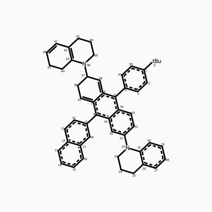 CC(C)(C)c1ccc(-c2c3c(c(-c4ccc5ccccc5c4)c4cc(N5CCCc6ccccc65)ccc24)=CCC(N2CCCC4=C2CCC=C4)C=3)cc1